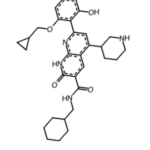 O=C(NCC1CCCCC1)c1cc2c(C3CCCNC3)cc(-c3c(O)cccc3OCC3CC3)nc2[nH]c1=O